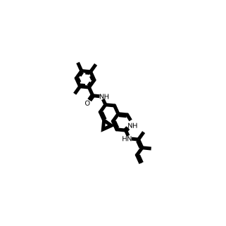 C=C/C(C)=C(/C)NC(=N)/C=C\C(=C/C)CC(C=C1CC1)NC(=O)c1cc(C)c(C)cc1C